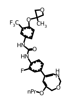 CCCO/C1=C/C(c2ccc(NC(=O)Nc3ccc(OC4(C)COC4)c(C(F)(F)F)c3)c(F)c2)=C\NCOC1